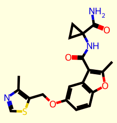 Cc1ncsc1COc1ccc2oc(C)c(C(=O)NC3(C(N)=O)CC3)c2c1